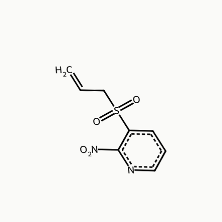 C=CCS(=O)(=O)c1cccnc1[N+](=O)[O-]